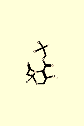 CC1=C(C(=O)OCC(Cl)(Cl)Cl)N2C(=O)C[C@H]2SC1